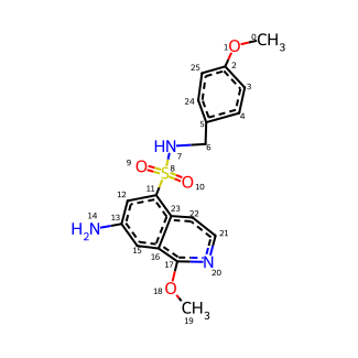 COc1ccc(CNS(=O)(=O)c2cc(N)cc3c(OC)nccc23)cc1